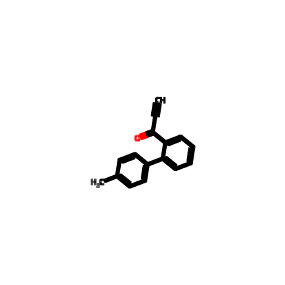 C#CC(=O)c1ccccc1-c1ccc(C)cc1